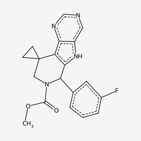 COC(=O)N1CC2(CC2)c2c([nH]c3cncnc23)C1c1cccc(F)c1